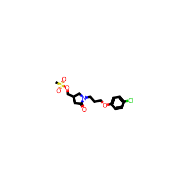 CS(=O)(=O)OCC1CC(=O)N(CCCOc2ccc(Cl)cc2)C1